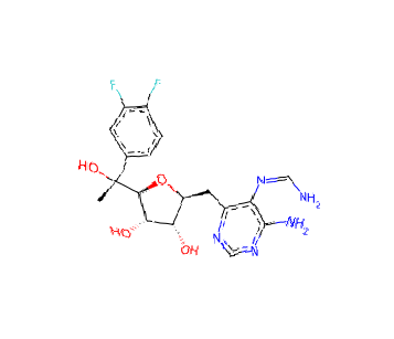 C[C@@](O)(c1ccc(F)c(F)c1)[C@H]1O[C@@H](Cc2ncnc(N)c2/N=C\N)[C@H](O)[C@@H]1O